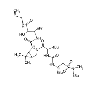 C=CCNC(=O)C(O)C(CCC)NC(=O)[C@@H]1C2C(CN1C(=O)C(NC(=O)N[C@H](CS(=O)(=O)N(C)C(C)(C)C)C(C)(C)C)C(C)(C)C)C2(C)C